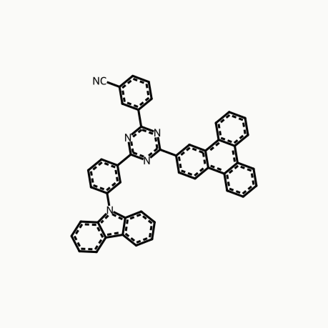 N#Cc1cccc(-c2nc(-c3cccc(-n4c5ccccc5c5ccccc54)c3)nc(-c3ccc4c5ccccc5c5ccccc5c4c3)n2)c1